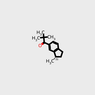 C[C@H]1CCc2ccc(C(=O)C(C)(C)C)cc21